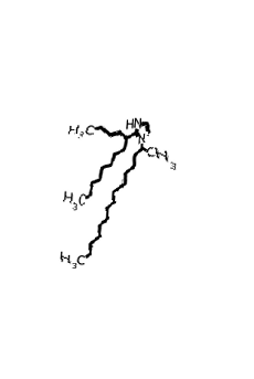 CCCCCCCCCCCCCC(C)[n+]1cc[nH]c1C(CCCC)CCCCCCCC